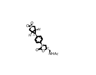 CC(=O)NC[C@H]1CN(c2ccc([C@H]3[C@@H]4CS(=O)(=O)C[C@@H]43)cc2)C(=O)O1